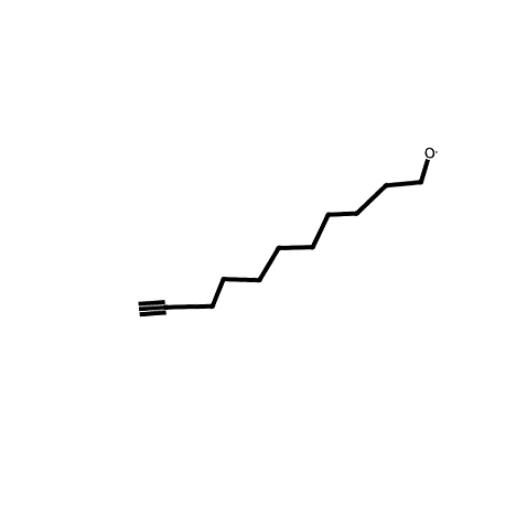 C#CCCCCCCCCC[O]